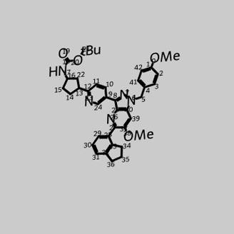 COc1ccc(Cn2nc(-c3ccc(C4CCC(NC(=O)OC(C)(C)C)C4)nc3)c3nc(-c4cccc5c4CCC5)c(OC)cc32)cc1